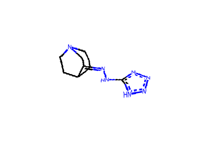 C1CN2CCC1/C(=N\Nc1nnn[nH]1)C2